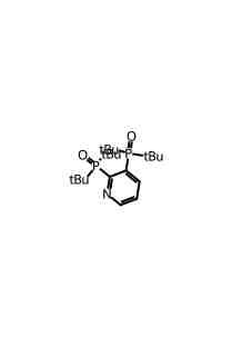 CC(C)(C)P(=O)(c1cccnc1P(=O)(C(C)(C)C)C(C)(C)C)C(C)(C)C